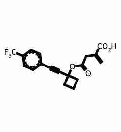 C=C(CC(=O)OC1(C#Cc2ccc(C(F)(F)F)cc2)CCC1)C(=O)O